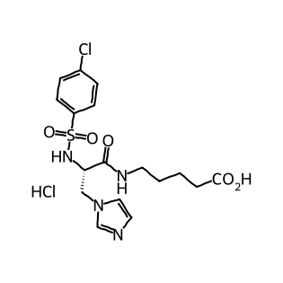 Cl.O=C(O)CCCCNC(=O)[C@H](Cn1ccnc1)NS(=O)(=O)c1ccc(Cl)cc1